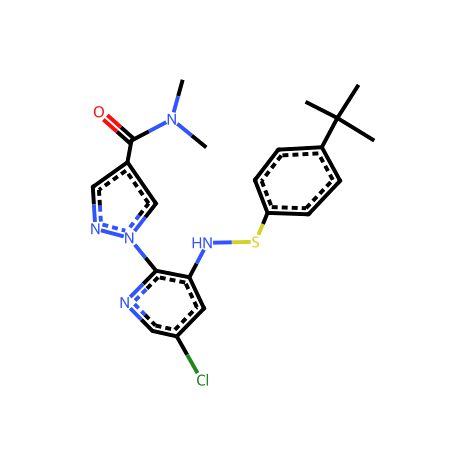 CN(C)C(=O)c1cnn(-c2ncc(Cl)cc2NSc2ccc(C(C)(C)C)cc2)c1